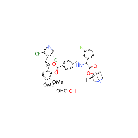 COc1ccc([C@@H](Cc2c(Cl)cncc2Cl)OC(=O)c2ccc(CNC(C(=O)O[C@H]3CN4CCC3CC4)c3cccc(F)c3)cc2)cc1OC.O=CO